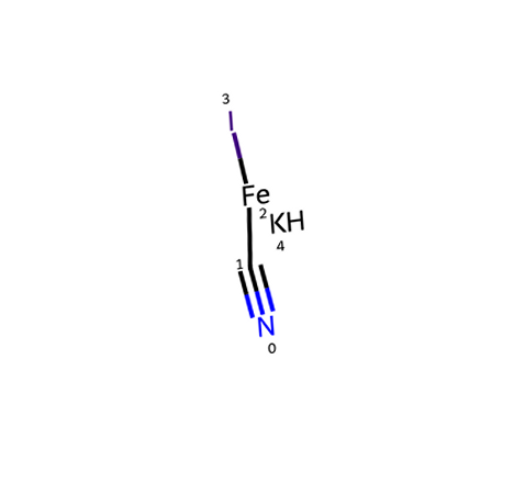 N#[C][Fe][I].[KH]